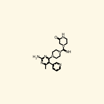 Cc1nc(N)nc(N2CCN(C(=N)N3CCNC(=O)C3)CC2)c1-c1cccnc1